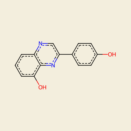 Oc1ccc(-c2cnc3cccc(O)c3n2)cc1